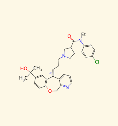 CCN(C(=O)C1CCN(CC/C=C2/c3cc(C(C)(C)O)ccc3OCc3ncccc32)C1)c1ccc(Cl)cc1